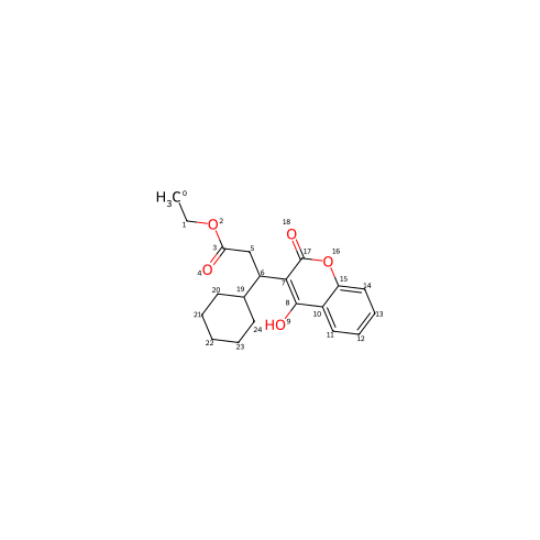 CCOC(=O)CC(c1c(O)c2ccccc2oc1=O)C1CCCCC1